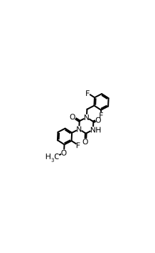 COc1cccc(-n2c(=O)[nH]c(=O)n(Cc3c(F)cccc3F)c2=O)c1F